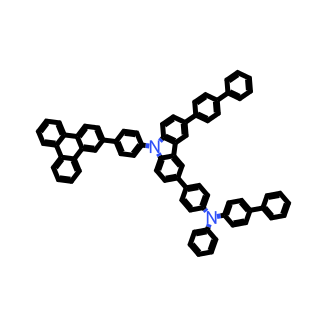 c1ccc(-c2ccc(-c3ccc4c(c3)c3cc(-c5ccc(N(c6ccccc6)c6ccc(-c7ccccc7)cc6)cc5)ccc3n4-c3ccc(-c4ccc5c6ccccc6c6ccccc6c5c4)cc3)cc2)cc1